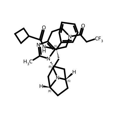 Cc1nc2c(n1[C@H]1C[C@H]3CC[C@@H](C1)N3CC[C@H](NC(=O)C1CCC1)c1ccccc1)CN(C(=O)CC(F)(F)F)CC2